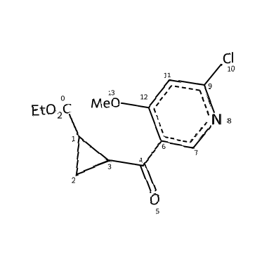 CCOC(=O)C1CC1C(=O)c1cnc(Cl)cc1OC